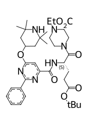 CCOC(=O)N1CCN(C(=O)[C@H](CCC(=O)OC(C)(C)C)NC(=O)c2cc(OC3CC(C)(C)NC(C)(C)C3)nc(-c3ccccc3)n2)CC1